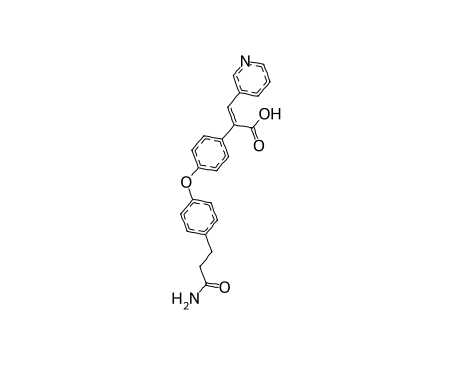 NC(=O)CCc1ccc(Oc2ccc(/C(=C/c3cccnc3)C(=O)O)cc2)cc1